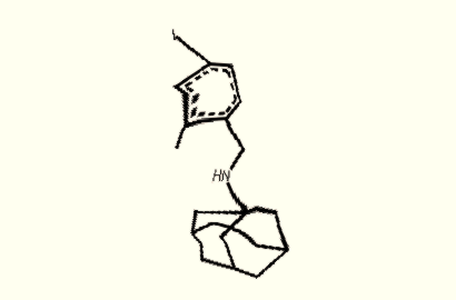 Cc1cc(I)ccc1CNC12CC3CC(CC(C3)C1)C2